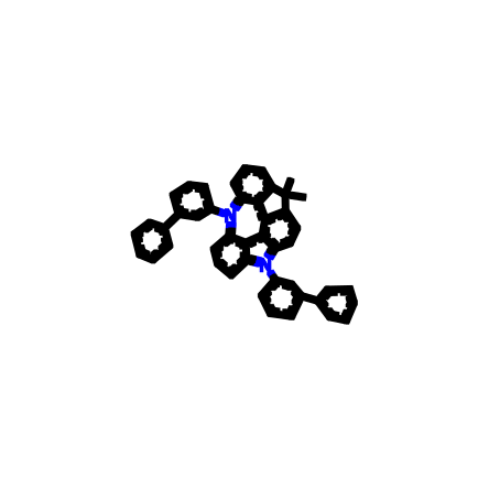 CC1(C)c2ccc3c4c2c2c1cccc2n(-c1cccc(-c2ccccc2)c1)c1cccc(c41)n3-c1cccc(-c2ccccc2)c1